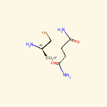 NC(=O)CCC(N)=O.N[C@@H](CS)C(=O)O